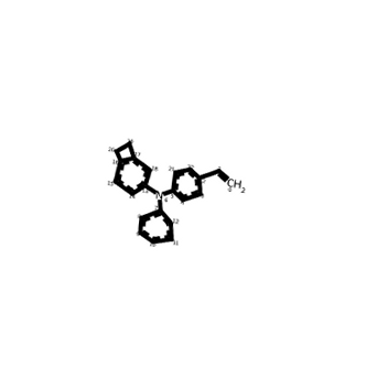 C=Cc1ccc(N(c2ccccc2)c2ccc3c(c2)CC3)cc1